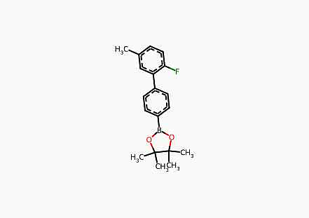 Cc1ccc(F)c(-c2ccc(B3OC(C)(C)C(C)(C)O3)cc2)c1